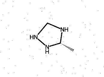 C[C@H]1NCNN1